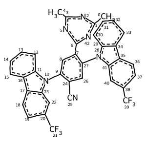 Cc1nc(C)nc(-c2cc(-n3c4ccccc4c4ccc(C(F)(F)F)cc43)c(C#N)cc2-n2c3ccccc3c3ccc(C(F)(F)F)cc32)n1